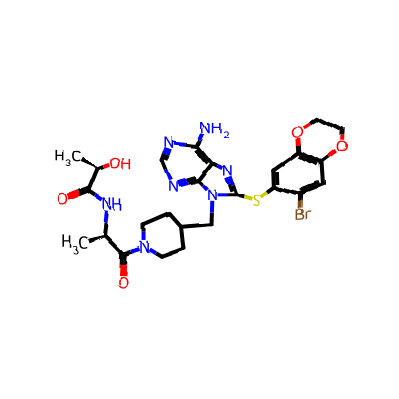 C[C@@H](O)C(=O)N[C@H](C)C(=O)N1CCC(Cn2c(Sc3cc4c(cc3Br)OCCO4)nc3c(N)ncnc32)CC1